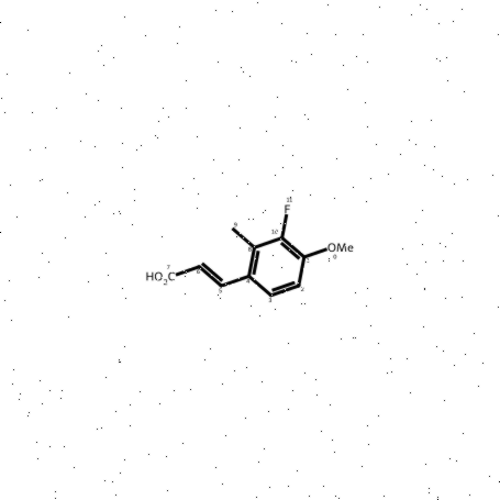 COc1ccc(C=CC(=O)O)c(C)c1F